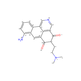 CN(C)CCC1C(=O)c2cncc3c2c(cc2c(N)cccc23)C1=O